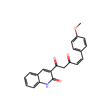 COc1ccc(/C=C\C(=O)CC(=O)c2cc3ccccc3[nH]c2=O)cc1